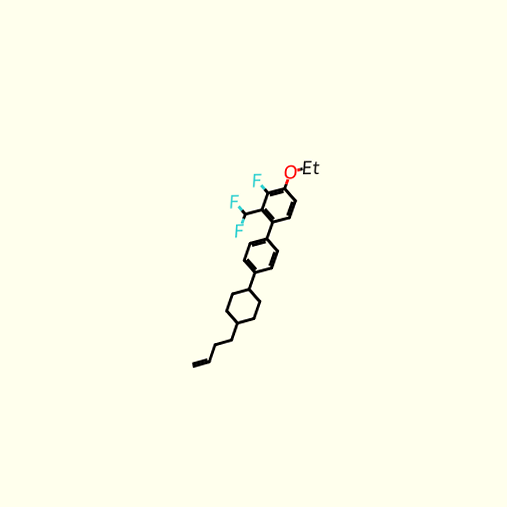 C=CCCC1CCC(c2ccc(-c3ccc(OCC)c(F)c3C(F)F)cc2)CC1